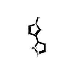 Cn1ccc(C2CC=NN2)c1